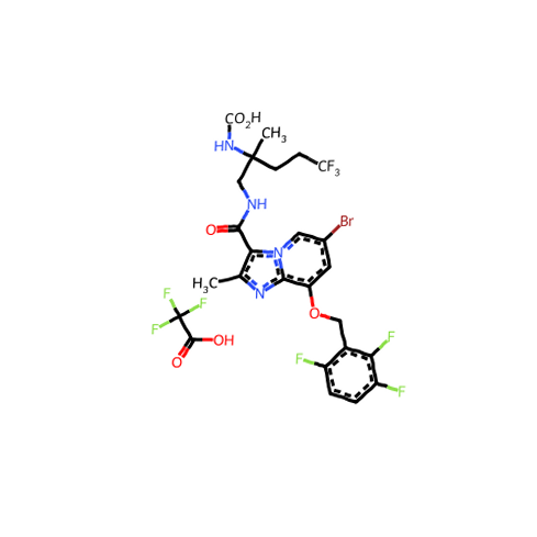 Cc1nc2c(OCc3c(F)ccc(F)c3F)cc(Br)cn2c1C(=O)NCC(C)(CCC(F)(F)F)NC(=O)O.O=C(O)C(F)(F)F